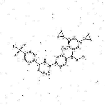 CCS(=O)(=O)c1ccc([C@H](CC#N)NC(=O)c2ccc(N(CC(F)(F)F)c3cc(C4CC4)cc(C4CC4)c3)c(OC)c2)cc1